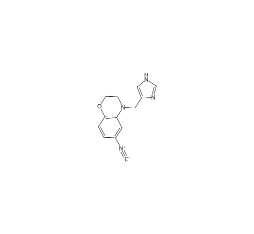 [C-]#[N+]c1ccc2c(c1)N(Cc1c[nH]cn1)CCO2